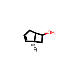 OC1C[C@H]2C=CCC12